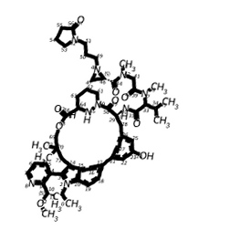 CCn1c(-c2cccnc2[C@H](C)OC)c2c3cc(ccc31)-c1cc(O)cc(c1)C[C@H](NC(=O)C(C(C)C)N(C)C(=O)CN(C)C(=O)[C@@H]1CN1CCCN1CCCC1=O)C(=O)N1CCC[C@H](N1)C(=O)OCC(C)(C)C2